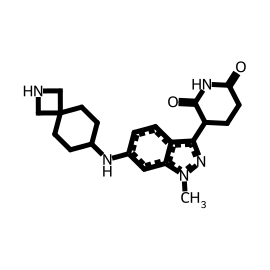 Cn1nc(C2CCC(=O)NC2=O)c2ccc(NC3CCC4(CC3)CNC4)cc21